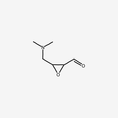 CN(C)CC1OC1[C]=O